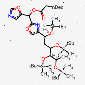 CCCCCCCCCCCC(=O)OC(c1cnco1)c1nc(C(CC(O[Si](C)(C)C(C)(C)C)C(O[Si](C)(C)C(C)(C)C)C(C)O[Si](C)(C)C(C)(C)C)O[Si](C)(C)C(C)(C)C)co1